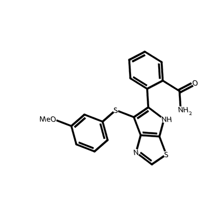 COc1cccc(Sc2c(-c3ccccc3C(N)=O)[nH]c3scnc23)c1